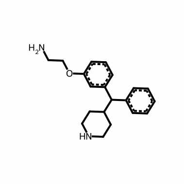 NCCOc1cccc(C(c2ccccc2)C2CCNCC2)c1